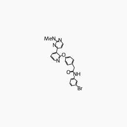 CNc1nccc(-c2cccnc2Oc2ccc(CC(=O)Nc3cccc(Br)c3)cc2)n1